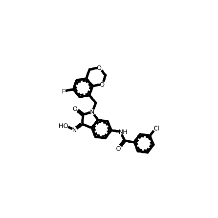 O=C(Nc1ccc2c(c1)N(Cc1cc(F)cc3c1OCOC3)C(=O)/C2=N\O)c1cccc(Cl)c1